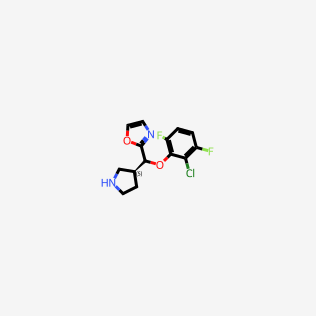 Fc1ccc(F)c(OC(c2ncco2)[C@H]2CCNC2)c1Cl